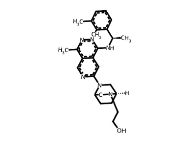 Cc1cccc([C@@H](C)Nc2nnc(C)c3cnc(N4C[C@H]5CCC4CN5CCO)cc23)c1C